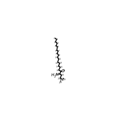 CCCCCCCCCCCCCCCCCC(=O)C(N)CCN(C)C